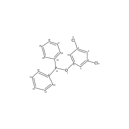 Clc1cc(Cl)cc(OP(c2ccccc2)c2ccccc2)c1